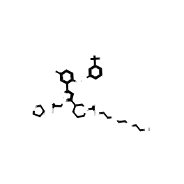 Cc1ccc(OS(=O)(=O)c2cccc(C(F)(F)F)c2)c(-c2cc(C3CCCN(C(=O)NCCOCCOCCN)C3)n(CC(=O)N[C@@H]3CCNC3)n2)c1